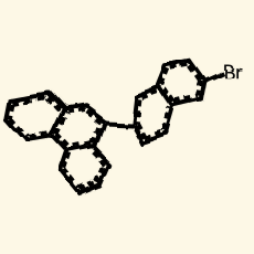 Brc1ccc2cc(-c3cc4ccccc4c4ccccc34)ccc2c1